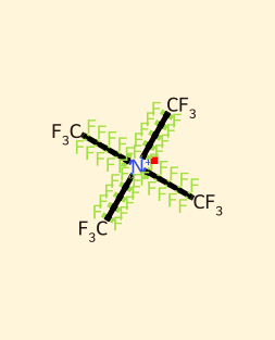 FC(F)(F)C(F)(F)C(F)(F)C(F)(F)C(F)(F)C(F)(F)[N+](C(F)(F)C(F)(F)C(F)(F)C(F)(F)C(F)(F)C(F)(F)F)(C(F)(F)C(F)(F)C(F)(F)C(F)(F)C(F)(F)C(F)(F)F)C(F)(F)C(F)(F)C(F)(F)C(F)(F)C(F)(F)C(F)(F)F